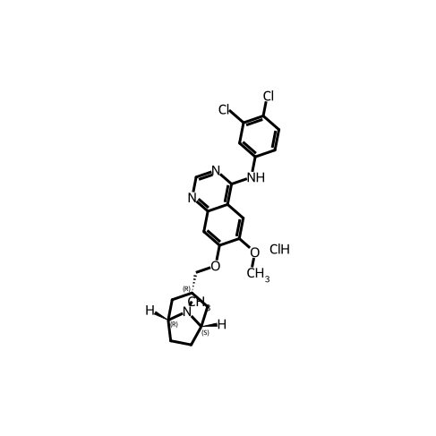 COc1cc2c(Nc3ccc(Cl)c(Cl)c3)ncnc2cc1OC[C@H]1C[C@H]2CC[C@@H](C1)N2C.Cl